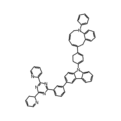 C1=CCC(c2nc(-c3cccc(-c4ccc5c(c4)c4ccccc4n5C4=CC=C(/C5=C/C=C\CN(c6ccccc6)c6ccccc6C5)CC4)c3)nc(-c3ccccn3)n2)N=C1